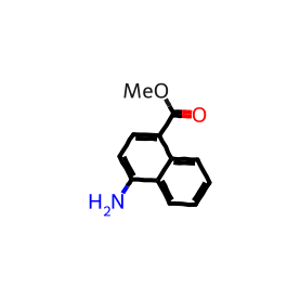 COC(=O)c1ccc(N)c2ccccc12